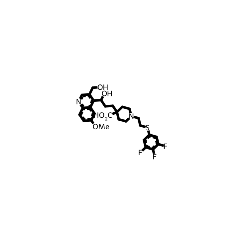 COc1ccc2ncc(CO)c(C(O)CCC3(C(=O)O)CCN(CCSc4cc(F)c(F)c(F)c4)CC3)c2c1